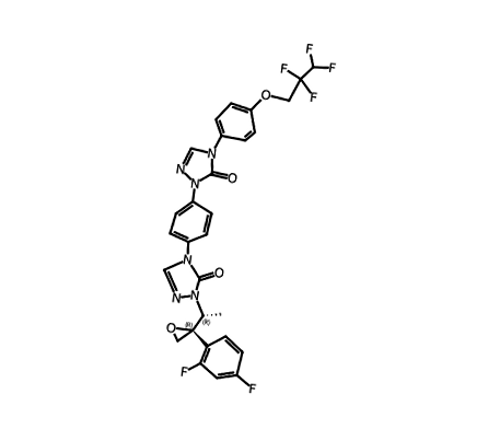 C[C@@H](n1ncn(-c2ccc(-n3ncn(-c4ccc(OCC(F)(F)C(F)F)cc4)c3=O)cc2)c1=O)[C@]1(c2ccc(F)cc2F)CO1